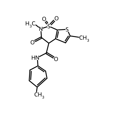 Cc1ccc(NC(=O)C2C(=O)N(C)S(=O)(=O)c3sc(C)cc32)cc1